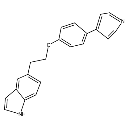 c1cc(-c2ccc(OCCc3ccc4[nH]ccc4c3)cc2)ccn1